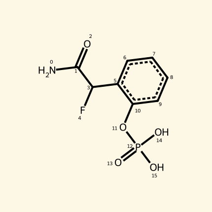 NC(=O)C(F)c1ccccc1OP(=O)(O)O